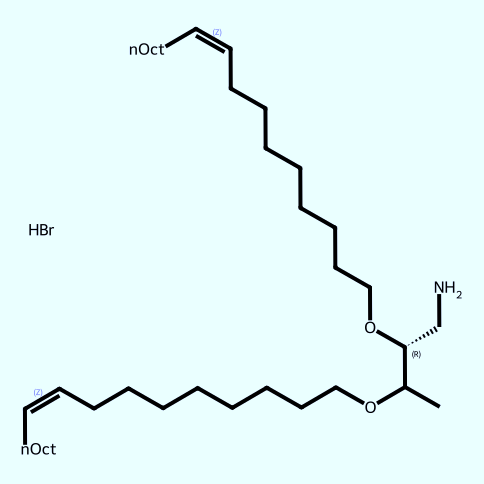 Br.CCCCCCCC/C=C\CCCCCCCCOC(C)[C@@H](CN)OCCCCCCCC/C=C\CCCCCCCC